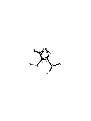 CCc1c(C(C)I)noc1C